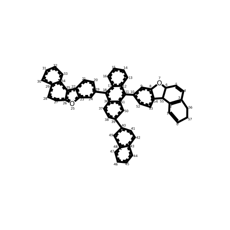 C1=CC2=C(C=CC3Oc4cc(-c5c6ccccc6c(-c6ccc7c(c6)oc6ccc8ccccc8c67)c6ccc(-c7ccc8ccccc8c7)cc56)ccc4C23)CC1